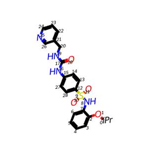 CC(C)Oc1ccccc1NS(=O)(=O)c1ccc(NC(=O)NCc2cccnc2)cc1